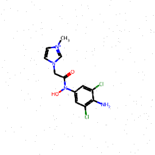 C[n+]1ccn(CC(=O)N(O)c2cc(Cl)c(N)c(Cl)c2)c1